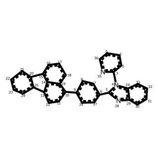 c1ccc(-n2c(-c3ccc(-c4ccc5c6c(cccc46)-c4ccccc4-5)cc3)nc3ccccc32)nc1